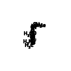 CO[C@@H](C)c1noc(N2CCC(N(C)C(=O)c3cnc(N4C[C@H](c5cc(C)ccc5F)[C@@H](N)C4)nc3)CC2)n1